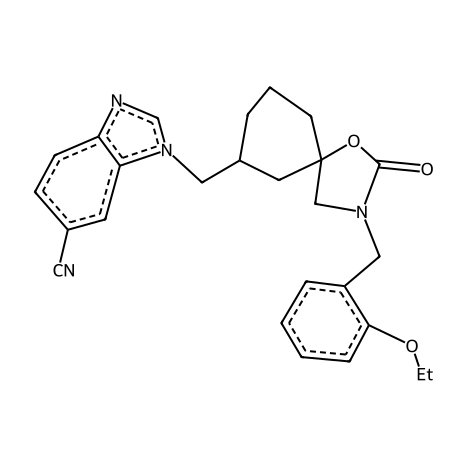 CCOc1ccccc1CN1CC2(CCCC(Cn3cnc4ccc(C#N)cc43)C2)OC1=O